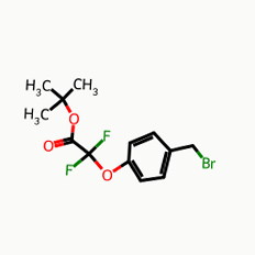 CC(C)(C)OC(=O)C(F)(F)Oc1ccc(CBr)cc1